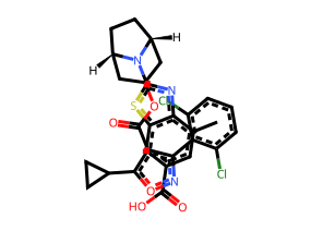 Cc1cc(C(=O)O)cc2sc(N3[C@@H]4CC[C@H]3CC(OC(=O)c3c(-c5c(Cl)cccc5Cl)noc3C3CC3)C4)nc12